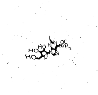 CONc1nc(I)nc2c1ncn2C1OC(CO)C(O)C1O